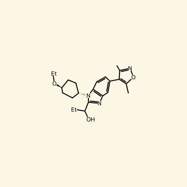 CCO[C@H]1CC[C@H](n2c(C(O)CC)nc3cc(-c4c(C)noc4C)ccc32)CC1